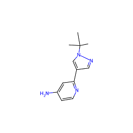 CC(C)(C)n1cc(-c2cc(N)ccn2)cn1